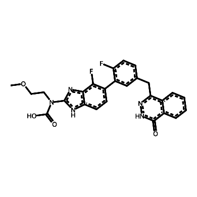 COCCN(C(=O)O)c1nc2c(F)c(-c3cc(Cc4n[nH]c(=O)c5ccccc45)ccc3F)ccc2[nH]1